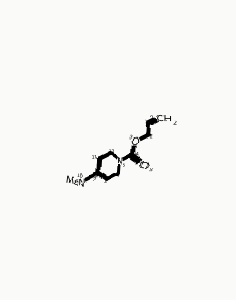 C=CCOC(=O)N1CCC(NC)CC1